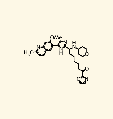 COc1cc2nc(C)ccc2cc1-c1cnc(C(CCCCCC(=O)c2ncco2)NC2CCOCC2)[nH]1